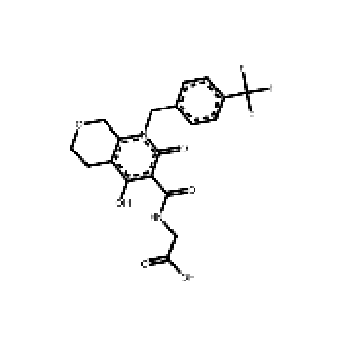 O=C(O)CNC(=O)c1c(O)c2c(n(Cc3ccc(C(F)(F)F)cc3)c1=O)COCC2